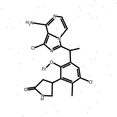 CCOc1c(C(C)c2nc(Cl)c3c(N)nccn23)cc(Cl)c(C)c1C1CNC(=O)C1